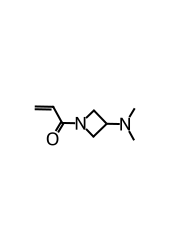 C=CC(=O)N1CC(N(C)C)C1